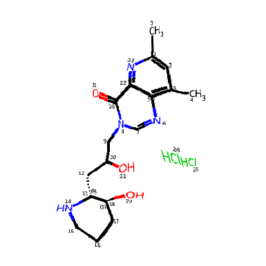 Cc1cc(C)c2ncn(CC(O)C[C@H]3NCCC[C@@H]3O)c(=O)c2n1.Cl.Cl